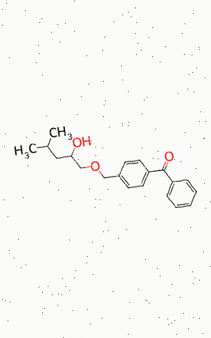 CC(C)CC(O)COCc1ccc(C(=O)c2ccccc2)cc1